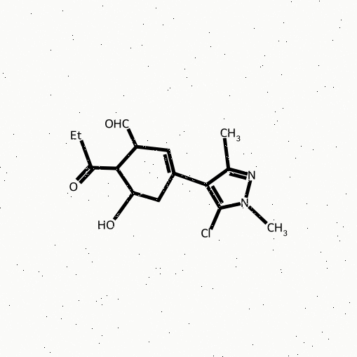 CCC(=O)C1C(C=O)C=C(c2c(C)nn(C)c2Cl)CC1O